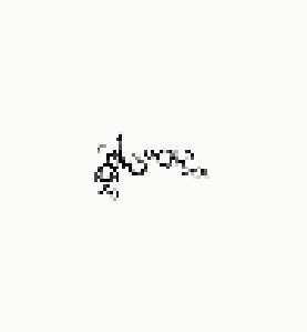 C=CCn1c(=O)c2cnc([S+](C)[O-])nc2n1-c1cccc(O[C@@H]2CCN(C(=O)OC(C)(C)C)[C@@H](C)C2)n1